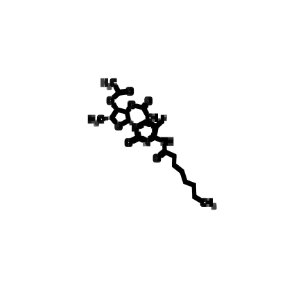 CCCCCCCC(=O)Nc1nc(=O)n([C@@H]2O[C@H](C)[C@@H](OC(C)=O)[C@H]2OC(C)=O)cc1F